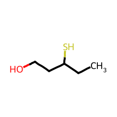 CCC(S)CCO